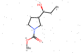 CC(C)C[C@H](O)C1CCN(C(=O)OC(C)(C)C)C1